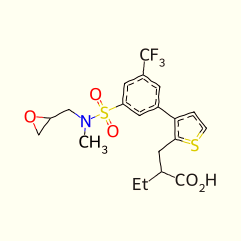 CCC(Cc1sccc1-c1cc(C(F)(F)F)cc(S(=O)(=O)N(C)CC2CO2)c1)C(=O)O